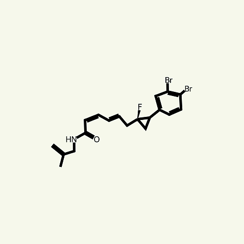 C=C(C)CNC(=O)/C=C\C=C\C[C@@]1(F)CC1c1ccc(Br)c(Br)c1